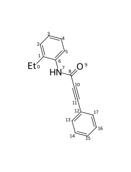 CCc1ccccc1NC(=O)C#Cc1ccccc1